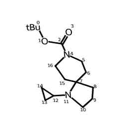 CC(C)(C)OC(=O)N1CCC2(CCCN2C2CC2)CC1